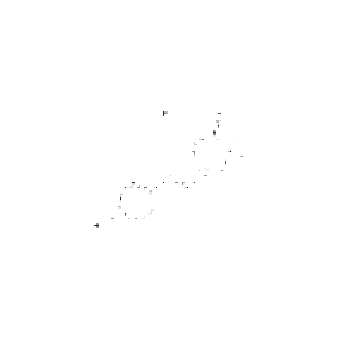 CC1(C)C[C@@](C)(C=Cc2ccc(O)cc2)C=C(C#N)C1=O